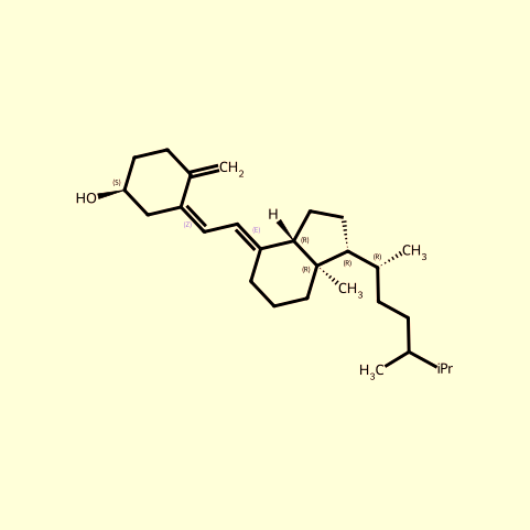 C=C1CC[C@H](O)C/C1=C/C=C1\CCC[C@]2(C)[C@@H]([C@H](C)CCC(C)C(C)C)CC[C@@H]12